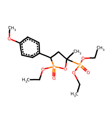 CCOP1(=O)OC(C)(P(=O)(OCC)OCC)CC1c1ccc(OC)cc1